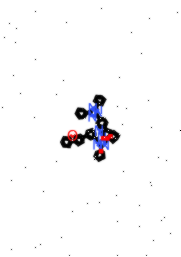 c1ccc(-c2nc(-c3ccccc3)nc(-c3ccc4c5ccccc5n(-c5ccc(-c6ccc7c(c6)oc6ccccc67)cc5-c5nc(-c6ccccc6)nc(-c6ccccc6)n5)c4c3)n2)cc1